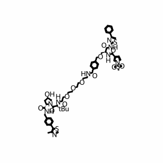 Cc1ncsc1-c1ccc(CNC(=O)[C@@H]2C[C@@H](O)CN2C(=O)[C@@H](NC(=O)COCCOCCOCCNC(=O)c2ccc(COC[C@H](NC(=O)c3ccn(S(C)(=O)=O)c3)C(=O)Nc3nc(-c4ccccc4)cs3)cc2)C(C)(C)C)cc1